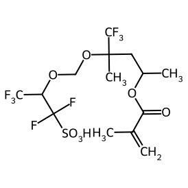 C=C(C)C(=O)OC(C)CC(C)(OCOC(C(F)(F)F)C(F)(F)S(=O)(=O)O)C(F)(F)F